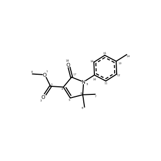 COC(=O)C1=CC(C)(C)N(c2ccc(C)cc2)C1=O